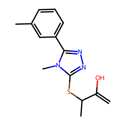 C=C(O)C(C)Sc1nnc(-c2cccc(C)c2)n1C